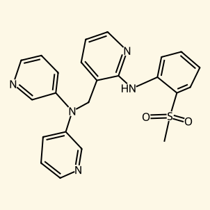 CS(=O)(=O)c1ccccc1Nc1ncccc1CN(c1cccnc1)c1cccnc1